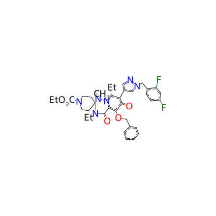 CCOC(=O)N1CCC2(CC1)N(CC)C(=O)c1c(OCc3ccccc3)c(=O)c(-c3cnn(Cc4ccc(F)cc4F)c3)c(CC)n1N2C